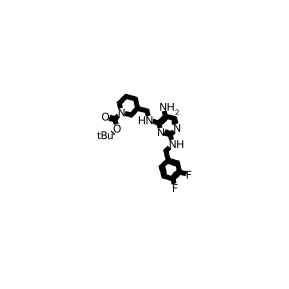 CC(C)(C)OC(=O)N1CCCC(CNc2nc(NCc3ccc(F)c(F)c3)ncc2N)C1